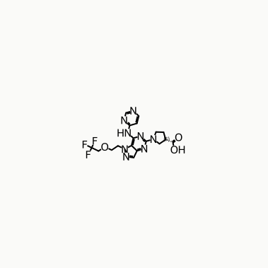 O=C(O)[C@H]1CCN(c2nc(Nc3ccncn3)c3c(cnn3CCOCC(F)(F)F)n2)C1